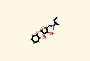 CCC(C)NC[C@@H]1O[C@@H](OC2CCCCC2)[C@H](O)[C@@H]1O